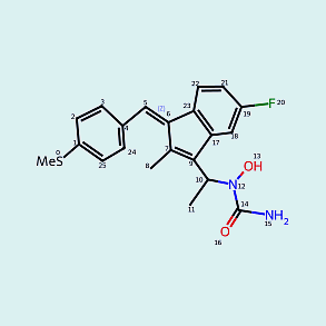 CSc1ccc(/C=C2\C(C)=C(C(C)N(O)C(N)=O)c3cc(F)ccc32)cc1